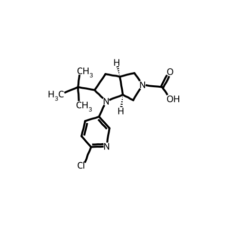 CC(C)(C)C1C[C@H]2CN(C(=O)O)C[C@H]2N1c1ccc(Cl)nc1